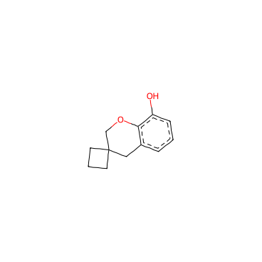 Oc1cccc2c1OCC1(CCC1)C2